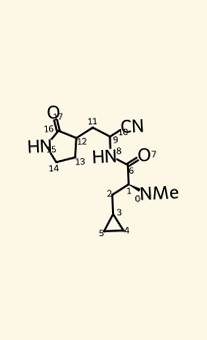 CN[C@@H](CC1CC1)C(=O)NC(C#N)CC1CCNC1=O